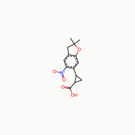 CC1(C)Cc2cc([N+](=O)[O-])c(C3CC3C(=O)O)cc2O1